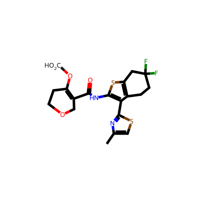 Cc1csc(-c2c(NC(=O)C3=C(OC(=O)O)CCOC3)sc3c2CCC(F)(F)C3)n1